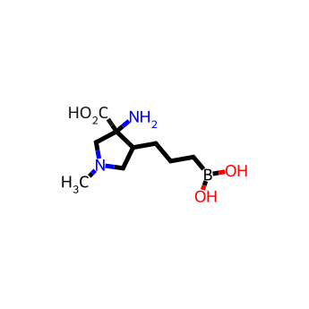 CN1CC(CCCB(O)O)C(N)(C(=O)O)C1